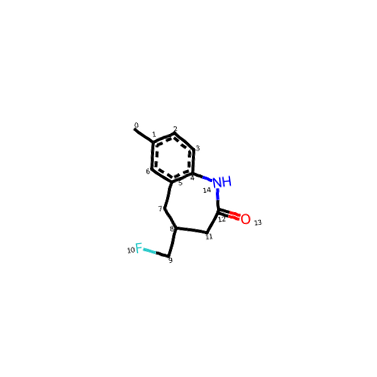 Cc1ccc2c(c1)CC(CF)CC(=O)N2